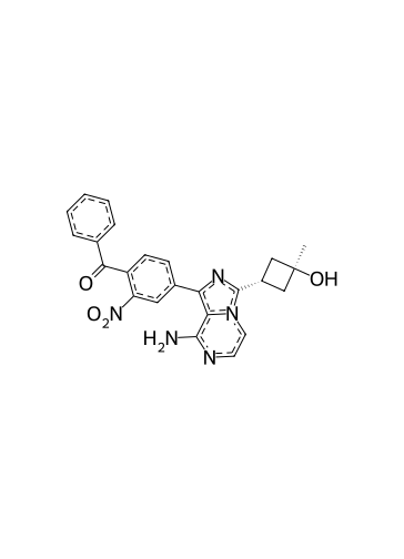 C[C@]1(O)C[C@H](c2nc(-c3ccc(C(=O)c4ccccc4)c([N+](=O)[O-])c3)c3c(N)nccn32)C1